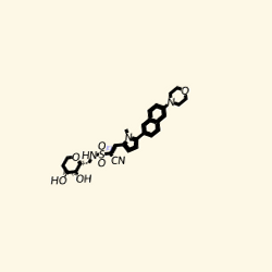 Cn1c(/C=C(\C#N)S(=O)(=O)NC[C@H]2OCC[C@@H](O)[C@@H]2O)ccc1-c1ccc2cc(N3CCOCC3)ccc2c1